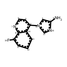 Nc1cn(-c2ccnc3c(F)cccc23)cn1